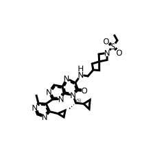 CCS(=O)(=O)N1CC2(CC(CNc3nc4cnc(-c5c(C)ncnc5C5CC5)nc4n([C@@H](C)C4CC4)c3=O)C2)C1